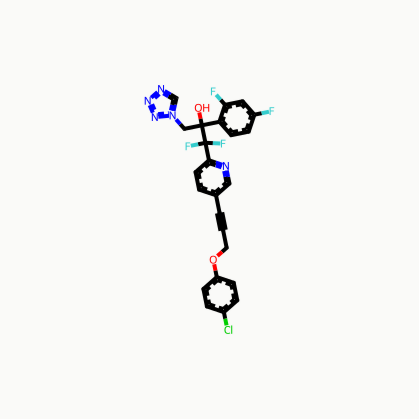 OC(Cn1cnnn1)(c1ccc(F)cc1F)C(F)(F)c1ccc(C#CCOc2ccc(Cl)cc2)cn1